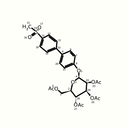 CC(=O)OC[C@H]1O[C@@H](Oc2ccc(-c3ccc(S(C)(=O)=O)cc3)cc2)[C@@H](OC(C)=O)[C@@H](OC(C)=O)[C@@H]1OC(C)=O